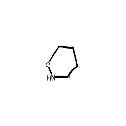 [C]1[C]NOCC1